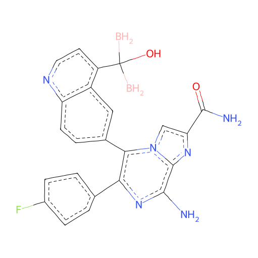 BC(B)(O)c1ccnc2ccc(-c3c(-c4ccc(F)cc4)nc(N)c4nc(C(N)=O)cn34)cc12